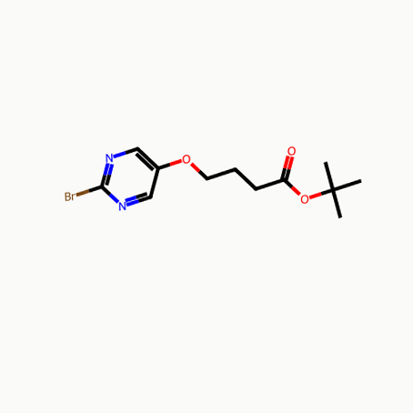 CC(C)(C)OC(=O)CCCOc1cnc(Br)nc1